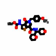 CC(C)(C)OC(=O)N[C@H]1CSc2c(C(=O)NC(C3CCOCC3)C3CCCCO3)cn(Cc3ccc(OC(F)(F)F)cc3)c(=O)c21